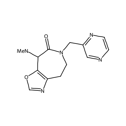 CNC1C(=O)N(Cc2cnccn2)CCc2ncoc21